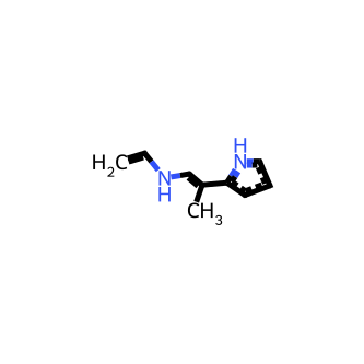 C=CN/C=C(\C)c1ccc[nH]1